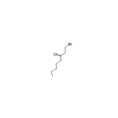 CCCCCC(=O)CCBr